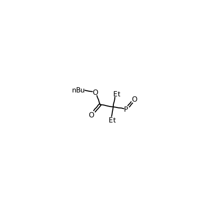 CCCCOC(=O)C(CC)(CC)P=O